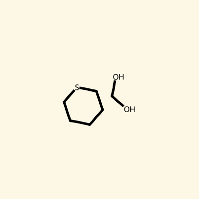 C1CCSCC1.OCO